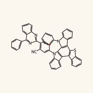 N#Cc1cc(-n2c3ccccc3c3c4c5ccccc5sc4c4c5ccccc5n(-c5ccccc5)c4c32)ccc1-c1nc(-c2ccccc2)c2ccccc2n1